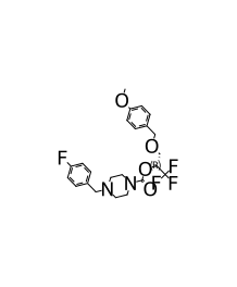 COc1ccc(COC[C@@H](OC(=O)N2CCN(Cc3ccc(F)cc3)CC2)C(F)(F)F)cc1